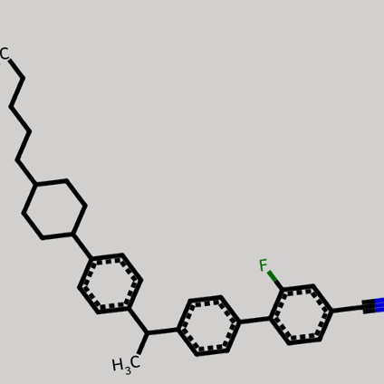 CCCCCC1CCC(c2ccc(C(C)c3ccc(-c4ccc(C#N)cc4F)cc3)cc2)CC1